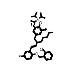 CCCCCC(C=Cc1cc(F)ccc1OCc1ccccc1Cl)Cc1cc(F)c(O[Si](C(C)C)(C(C)C)C(C)C)c(F)c1